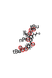 C/C=C/Cc1cc(/C=C/C(=O)c2ccc(OCOC(=O)C(C)(C)C)cc2)c(OCCC)c(C/C=C/C)c1OCOC(=O)C(C)(C)C